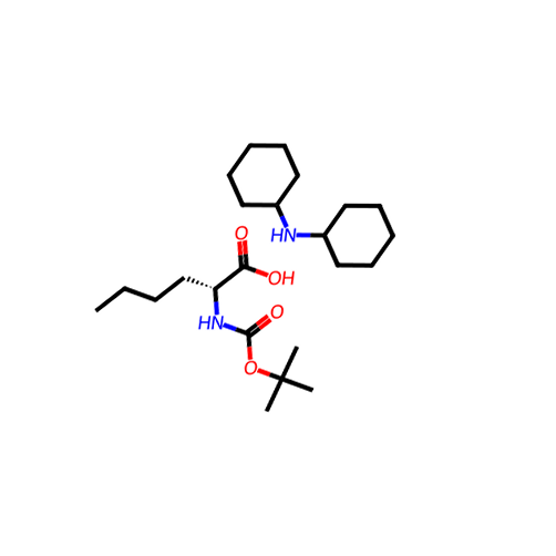 C1CCC(NC2CCCCC2)CC1.CCCC[C@@H](NC(=O)OC(C)(C)C)C(=O)O